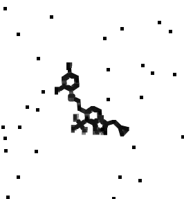 Fc1ccc(OCCc2ccn3c(CC4CC4)nnc3c2C(F)(F)F)c(F)c1